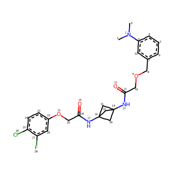 CN(C)c1cccc(COCC(=O)NC23CC(NC(=O)COc4ccc(Cl)c(F)c4)(C2)C3)c1